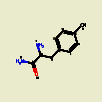 N#Cc1ccc(CC(N)C(N)=O)cc1